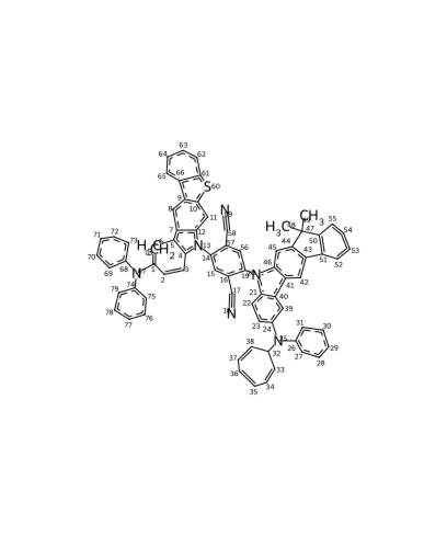 C=C(/C=C\c1c(C)c2cc3c(cc2n1-c1cc(C#N)c(-n2c4ccc(N(c5ccccc5)C5C=CC=CC=C5)cc4c4cc5c(cc42)C(C)(C)C2=C5C=C=C=C2)cc1C#N)sc1ccccc13)N(c1ccccc1)c1ccccc1